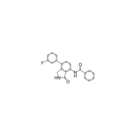 O=C(Nc1ccc(-c2cccc(F)c2)c2c1C(=O)NC2)c1ccccc1